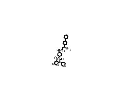 NC(CC(=O)NC1CCC(n2c(=O)c3cc(F)cnc3n(C3CCSCC3)c2=O)CC1)c1ccc(-c2ccccc2)cc1